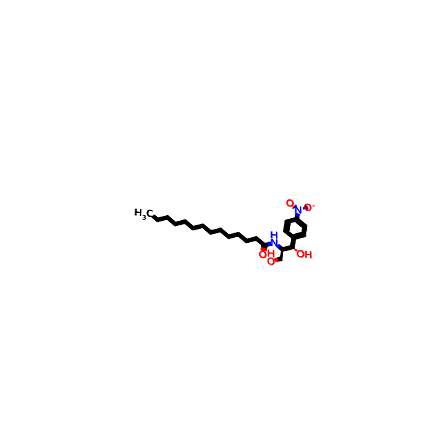 CCCCCCCCCCCCCC(=O)N[C@H](CO)[C@@H](O)c1ccc([N+](=O)[O-])cc1